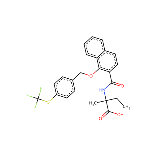 CCC(C)(NC(=O)c1ccc2ccccc2c1OCc1ccc(SC(F)(F)F)cc1)C(=O)O